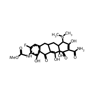 COC(=O)Nc1c(F)cc2c(c1O)C(=O)C1=C(O)C3(O)C(=O)C(C(N)=O)=C(O)C(N(C)C)C3CC1C2